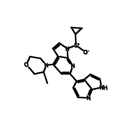 CC1COCCN1c1cc(-c2ccnc3[nH]ccc23)nc2c1ccn2[S+]([O-])C1CC1